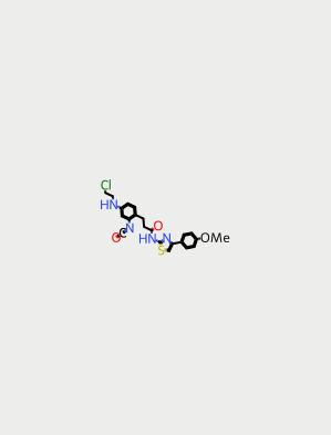 COc1ccc(-c2csc(NC(=O)CCc3ccc(NCCCl)cc3N=C=O)n2)cc1